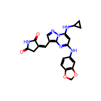 O=C1CC(=Cc2cnn3c(NC4CC4)cc(Nc4ccc5c(c4)OCO5)nc23)C(=O)N1